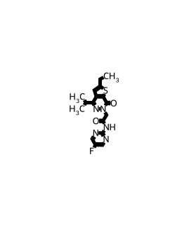 CCc1cc2c(C(C)C)nn(CC(=O)Nc3ncc(F)cn3)c(=O)c2s1